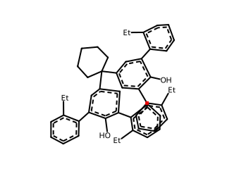 CCc1ccccc1-c1cc(C2(c3cc(-c4ccccc4CC)c(O)c(-c4ccccc4CC)c3)CCCCC2)cc(-c2ccccc2CC)c1O